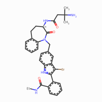 CCNC(=O)c1ccccc1-c1[nH]c2ccc(CN3C(=O)[C@H](NC(=O)CC(C)(C)N)CCc4ccccc43)cc2c1Br